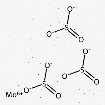 O=S([O-])[O-].O=S([O-])[O-].O=S([O-])[O-].[Mo+6]